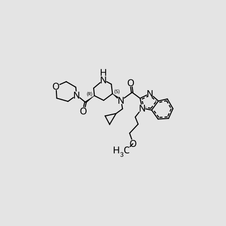 COCCCn1c(C(=O)N(CC2CC2)[C@@H]2CNC[C@H](C(=O)N3CCOCC3)C2)nc2ccccc21